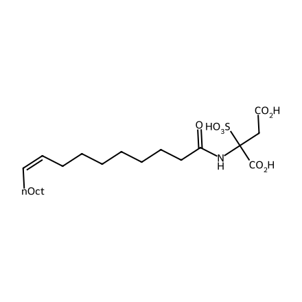 CCCCCCCC/C=C\CCCCCCCC(=O)NC(CC(=O)O)(C(=O)O)S(=O)(=O)O